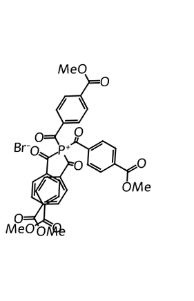 COC(=O)c1ccc(C(=O)[P+](C(=O)c2ccc(C(=O)OC)cc2)(C(=O)c2ccc(C(=O)OC)cc2)C(=O)c2ccc(C(=O)OC)cc2)cc1.[Br-]